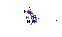 CN(c1nc(Nc2cnn(C)c2)ncc1Cl)C1CCC2(CCCN(C(=O)OC(C)(C)C)C2)C1